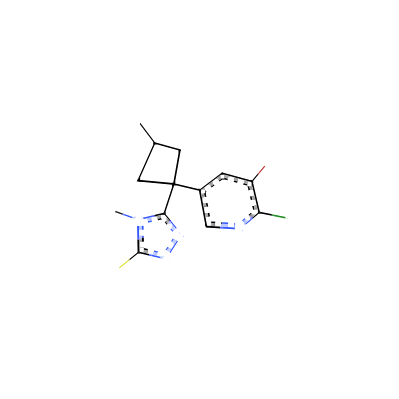 CCn1c(S)nnc1C1(c2cnc(Cl)c(Br)c2)CC(C)C1